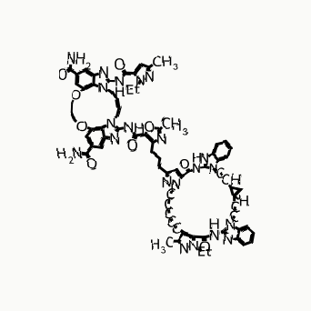 CCn1nc(C)cc1C(=O)Nc1nc2cc(C(N)=O)cc3c2n1C/C=C\Cn1c(NC(=O)c2oc(C)nc2CCCc2cc4n(n2)CCCCCc2c(C)nn(CC)c2C(=O)Nc2nc5ccccc5n2CC[C@H]2C[C@@H]2CCn2c(nc5ccccc52)NC4=O)nc2cc(C(N)=O)cc(c21)OCCCO3